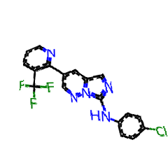 FC(F)(F)c1cccnc1-c1cnn2c(Nc3ccc(Cl)cc3)ncc2c1